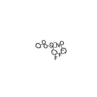 O=C(OCCC1(c2ccc(F)c(F)c2)CN(C(=O)c2ccccc2)CCO1)c1ccccc1